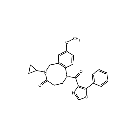 COc1ccc2c(c1)CN(C1CC1)C(=O)CCN2C(=O)c1ncoc1-c1ccccc1